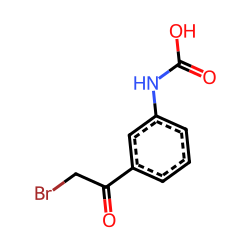 O=C(O)Nc1cccc(C(=O)CBr)c1